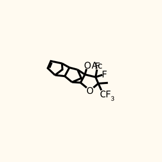 CC(=O)OC12C3CC(C4C5C=CC(C5)C43)C1OC(C)(C(F)(F)F)C2(F)F